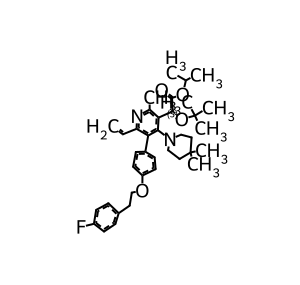 C=Cc1nc(C)c([C@H](OC(C)(C)C)C(=O)OC(C)C)c(N2CCC(C)(C)CC2)c1-c1ccc(OCCc2ccc(F)cc2)cc1